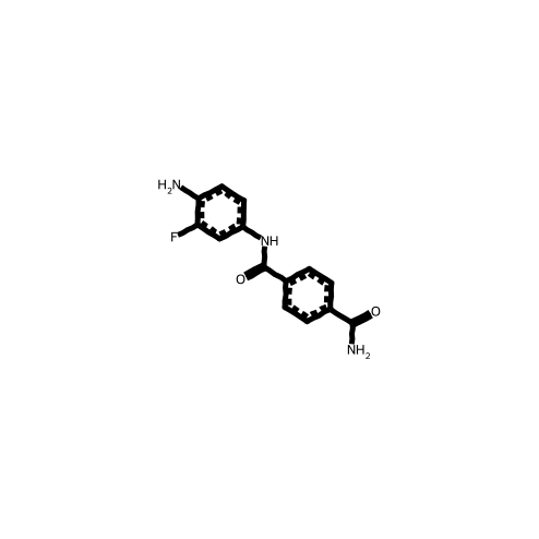 NC(=O)c1ccc(C(=O)Nc2ccc(N)c(F)c2)cc1